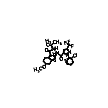 COC1CCc2c(sc(NC(=O)c3cc(C(F)(F)F)nn3-c3ncccc3Cl)c2C(=O)NC(C)C)C1